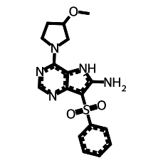 COC1CCN(c2ncnc3c(S(=O)(=O)c4ccccc4)c(N)[nH]c23)C1